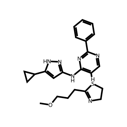 COCCCC1=NCC[SH]1c1cnc(-c2ccccc2)nc1Nc1cc(C2CC2)[nH]n1